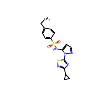 CCc1ccc(S(=O)(=O)Nc2ccnn2-c2nc(C3CC3)ns2)cc1